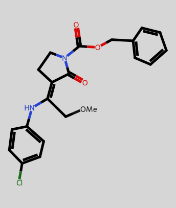 COC/C(Nc1ccc(Cl)cc1)=C1/CCN(C(=O)OCc2ccccc2)C1=O